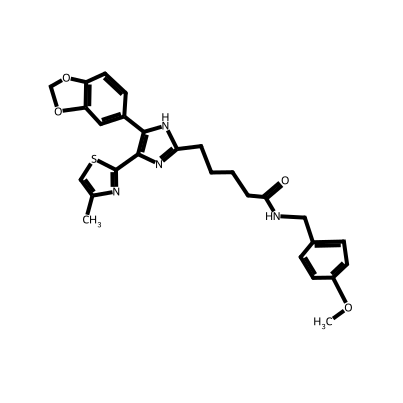 COc1ccc(CNC(=O)CCCCc2nc(-c3nc(C)cs3)c(-c3ccc4c(c3)OCO4)[nH]2)cc1